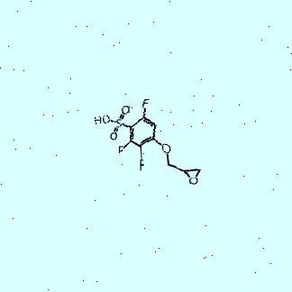 O=S(=O)(O)c1c(F)cc(OCC2CO2)c(F)c1F